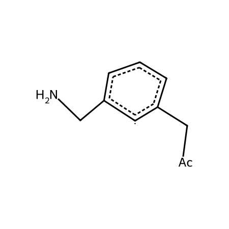 CC(=O)Cc1[c]c(CN)ccc1